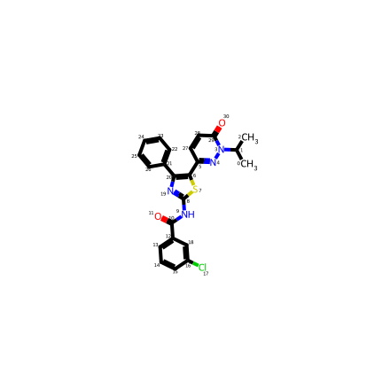 CC(C)n1nc(-c2sc(NC(=O)c3cccc(Cl)c3)nc2-c2ccccc2)ccc1=O